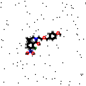 COc1ccc(COCCN(CC2CC2)C(=O)c2cccc([N+](=O)[O-])c2F)cc1